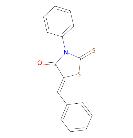 O=C1C(=Cc2ccccc2)SC(=S)N1c1ccccc1